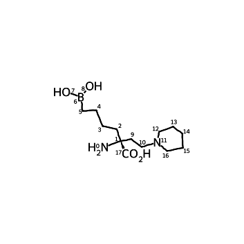 N[C@](CCCCB(O)O)(CCN1CCCCC1)C(=O)O